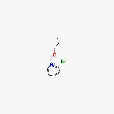 CCCOC[n+]1ccccc1.[Br-]